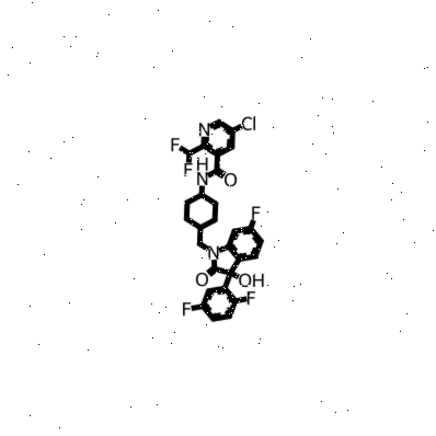 O=C(NC1CCC(CN2C(=O)C(O)(c3cc(F)ccc3F)c3ccc(F)cc32)CC1)c1cc(Cl)cnc1C(F)F